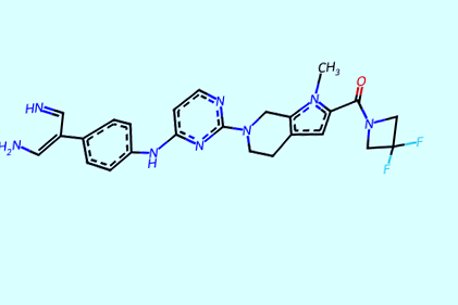 Cn1c(C(=O)N2CC(F)(F)C2)cc2c1CN(c1nccc(Nc3ccc(/C(C=N)=C/N)cc3)n1)CC2